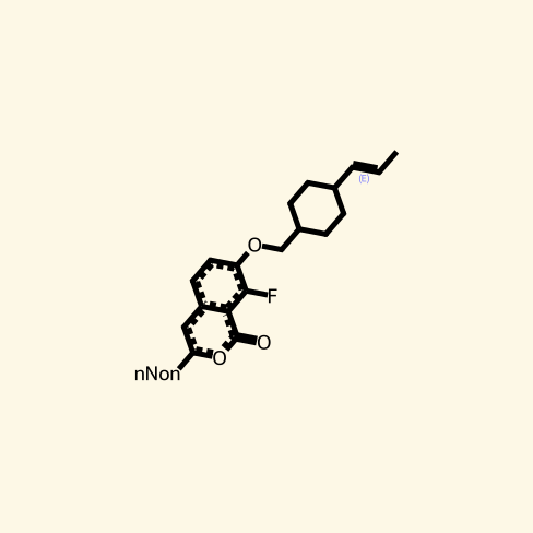 C/C=C/C1CCC(COc2ccc3cc(CCCCCCCCC)oc(=O)c3c2F)CC1